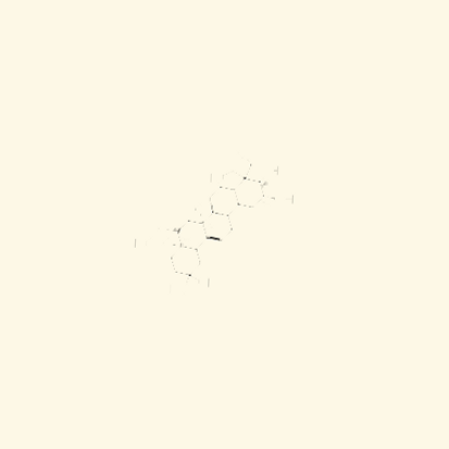 CC1(C)CC[C@@]2(C(=O)O)C(C1)C1=CCC3C4C[C@H](O)[C@H](O)C(CO)(CO)C4CCC3[C@]1(C)C[C@H]2O